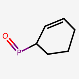 O=PC1C=CCCC1